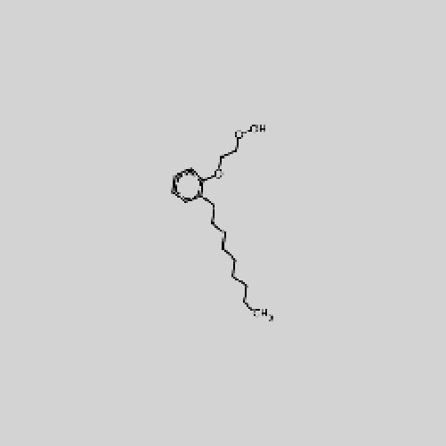 CCCCCCCCCc1ccccc1OCCOO